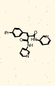 CC(C)c1ccc(C=C(C(=O)Nc2cccnc2)C(=O)Nc2cccnc2)cc1